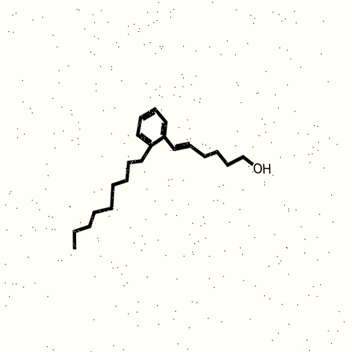 CCCCCCCCCc1ccccc1/C=C/CCCCO